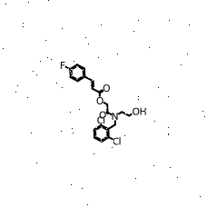 O=C(/C=C/c1ccc(F)cc1)OCC(=O)N(CCO)Cc1c(Cl)cccc1Cl